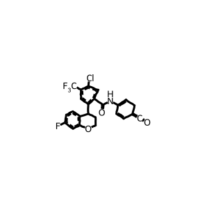 O=C=C1C=CC(NC(=O)c2cc(Cl)c(C(F)(F)F)cc2C2CCOc3cc(F)ccc32)=CC1